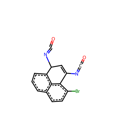 O=C=NC1=CC(N=C=O)c2cccc3ccc(Br)c1c23